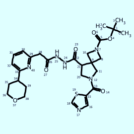 CC(C)(C)OC(=O)N1CC2(C1)CN(C(=O)c1cncs1)CC2C(=O)NNC(=O)Cc1cccc(C2CCOCC2)n1